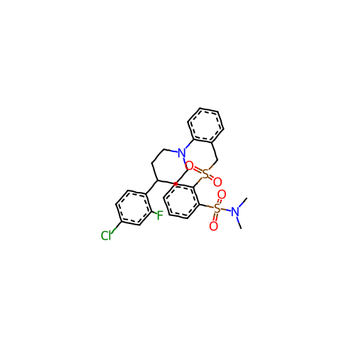 CN(C)S(=O)(=O)c1ccccc1S(=O)(=O)Cc1ccccc1N1CCC(c2ccc(Cl)cc2F)CC1